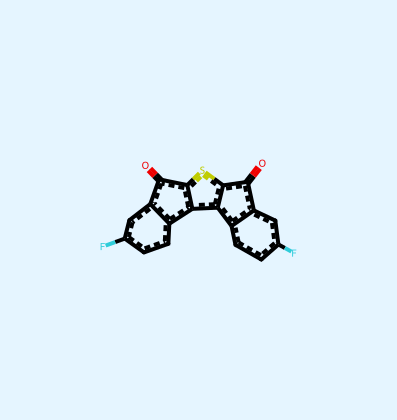 O=c1c2cc(F)ccc2c2c1sc1c(=O)c3cc(F)ccc3c12